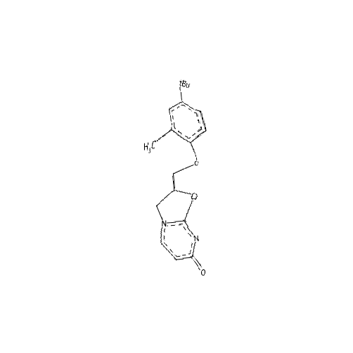 Cc1cc(C(C)(C)C)ccc1OCC1Cn2ccc(=O)nc2O1